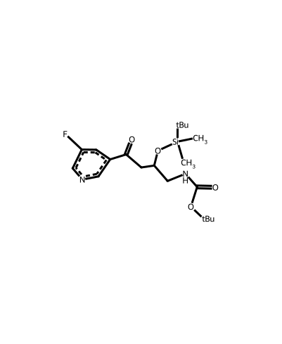 CC(C)(C)OC(=O)NCC(CC(=O)c1cncc(F)c1)O[Si](C)(C)C(C)(C)C